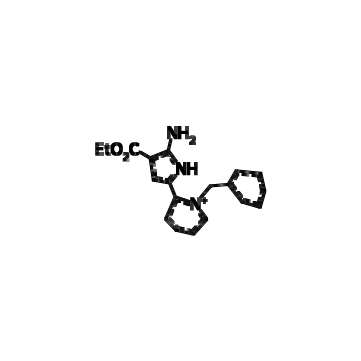 CCOC(=O)c1cc(-c2cccc[n+]2Cc2ccccc2)[nH]c1N